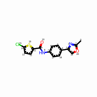 Cc1nc(-c2ccc(NC(=O)c3ccc(Cl)s3)cc2)co1